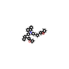 c1cc(-c2ccc(N(c3ccc(-c4ccc5ccccc5c4-c4ccc5c(c4)oc4ccccc45)cc3)c3cc4ccccc4c4ccccc34)cc2)cc(-c2ccc3c(c2)oc2ccccc23)c1